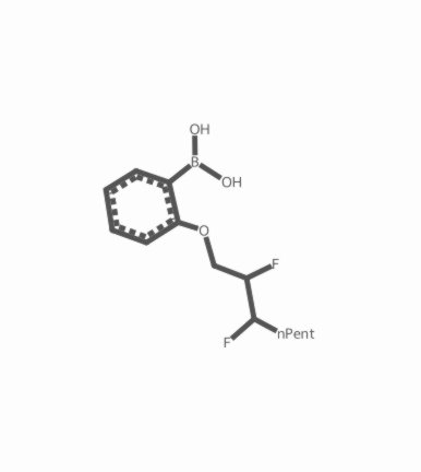 CCCCCC(F)C(F)COc1ccccc1B(O)O